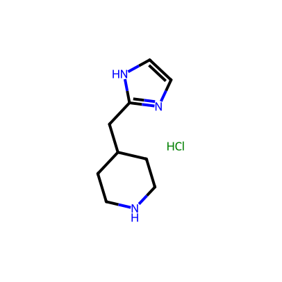 Cl.c1c[nH]c(CC2CCNCC2)n1